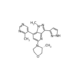 Cc1ncncc1-c1cc(N2CCOC[C@H]2C)nc2c(-c3cc[nH]n3)nn(C)c12